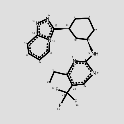 CCc1nc(N[C@@H]2CCC[C@H](c3nnc4ccccn34)C2)ncc1C(F)(F)F